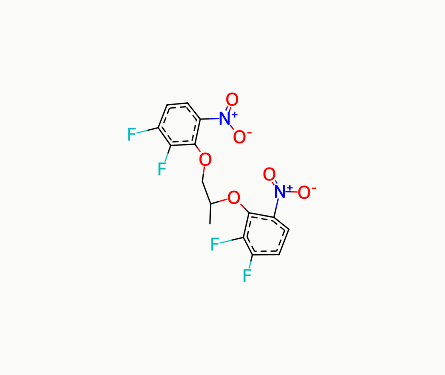 CC(COc1c([N+](=O)[O-])ccc(F)c1F)Oc1c([N+](=O)[O-])ccc(F)c1F